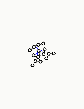 c1ccc(-c2cccc(-c3ccccc3-c3cc4c5c(c3)c3ccccc3n5-c3cc(-n5c6cc(-c7ccccc7)ccc6c6ccc(-c7ccccc7)cc65)cc5c3B4c3cc(-c4ccccc4-c4cccc(-c6ccccc6)c4)cc4c6ccccc6n-5c34)c2)cc1